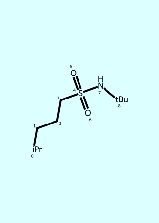 CC(C)CCCS(=O)(=O)NC(C)(C)C